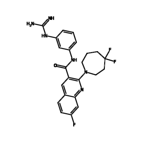 N=C(N)Nc1cccc(NC(=O)c2cc3ccc(F)cc3nc2N2CCCC(F)(F)CC2)c1